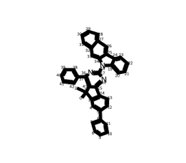 CC1(C)c2cc(-c3ccccc3)ccc2-c2nc(-n3c4ccccc4c4cc5ccccc5cc43)nc(-c3ccccc3)c21